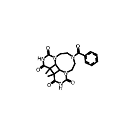 CC12C(=O)NC(=O)N3CCN(C(=O)c4ccccc4)CCN4C(=O)NC(=O)C1(C)C4C32